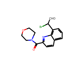 O=CC(Br)c1cccc2ccc(C(=O)N3CCOCC3)nc12